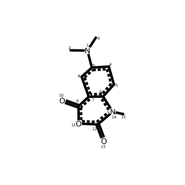 CN(C)c1ccc2c(c1)c(=O)oc(=O)n2C